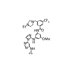 CCN1CCN(Cc2cc(C(=O)Nc3cc(Nc4nccn4-c4cc(NC5CC5)ncn4)cc(OC)c3)cc(C(F)(F)F)c2)CC1